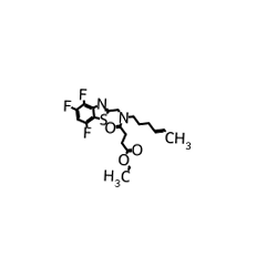 CC=CCCCN(Cc1nc2c(F)c(F)cc(F)c2s1)C(=O)CCC(=O)OCC